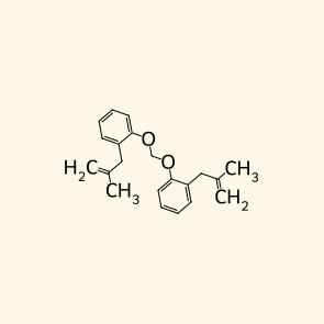 C=C(C)Cc1ccccc1OCOc1ccccc1CC(=C)C